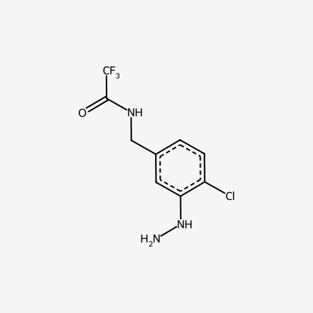 NNc1cc(CNC(=O)C(F)(F)F)ccc1Cl